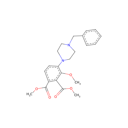 COC(=O)c1ccc(N2CCN(Cc3ccccc3)CC2)c(OC)c1C(=O)OC